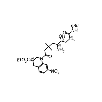 CCCCNC(=O)[C@H](C)C[C@H](O)[C@@H](N)CC(C)(C)CC(=O)N1C[C@H](C(=O)OCC)Cc2ccc([N+](=O)[O-])cc21